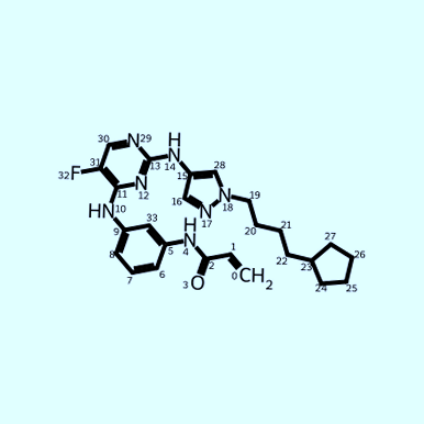 C=CC(=O)Nc1cccc(Nc2nc(Nc3cnn(CCCCC4CCCC4)c3)ncc2F)c1